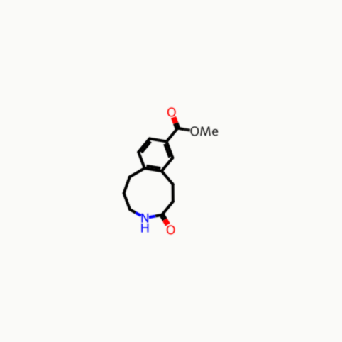 COC(=O)c1ccc2c(c1)CCC(=O)NCCC2